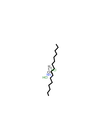 C.C.CCCCCCCCCCCCCCCC.Cl.Cl.N